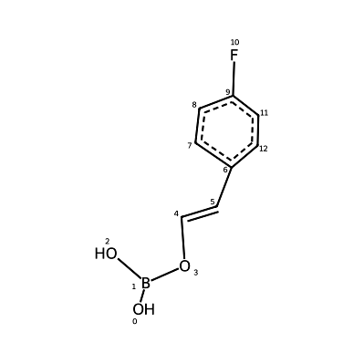 OB(O)O/C=C/c1ccc(F)cc1